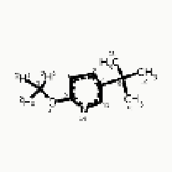 [2H]C([2H])([2H])Oc1ccc(C(C)(C)C)cn1